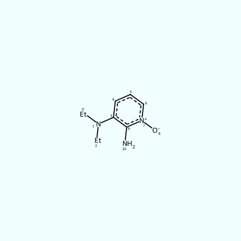 CCN(CC)c1ccc[n+]([O-])c1N